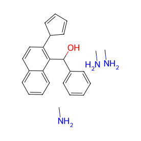 CN.CN.CN.OC(c1ccccc1)c1c(C2C=CC=C2)ccc2ccccc12